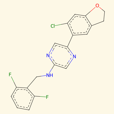 Fc1cccc(F)c1CNc1cnc(-c2cc3c(cc2Cl)OCC3)cn1